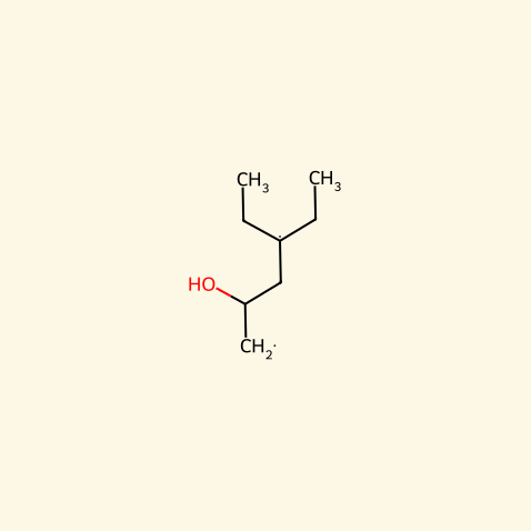 [CH2]C(O)C[C](CC)CC